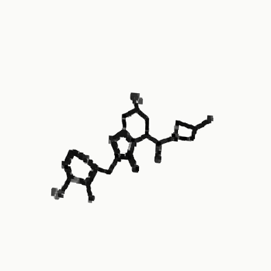 O=C(C1CC(C(F)(F)F)Cc2nn(Cc3ccnc(C(F)(F)F)c3F)c(=O)n21)N1CC(F)C1